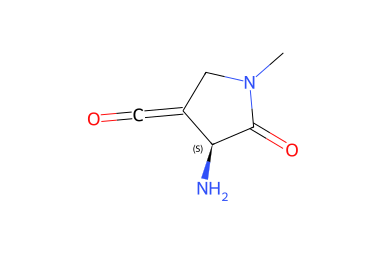 CN1CC(=C=O)[C@H](N)C1=O